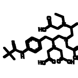 CCN(CC(=O)O)C(C)CN(CC(=O)O)CC(Cc1ccc(NC(=S)C(C)(C)C)cc1)N(CC(=O)O)CC(=O)O